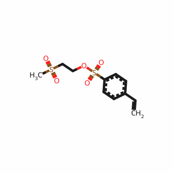 C=Cc1ccc(S(=O)(=O)OCCS(C)(=O)=O)cc1